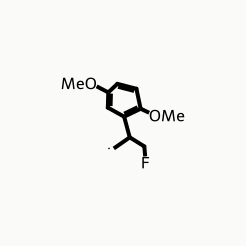 [CH2]C(CF)c1cc(OC)ccc1OC